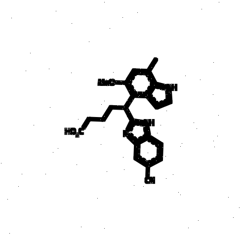 COc1cc(C)c2[nH]ccc2c1C(CCCC(=O)O)c1nc2cc(C#N)ccc2[nH]1